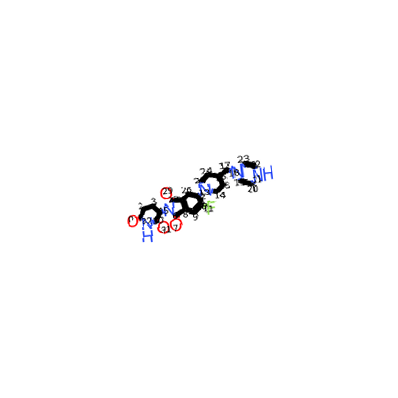 O=C1CCC(N2C(=O)c3cc(F)c(N4CCC(CN5CCNCC5)CC4)cc3C2=O)C(=O)N1